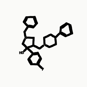 OC1(c2ccc(F)cc2)CN(Cc2ccccc2)CC1CN1CCC(c2ccccc2)CC1